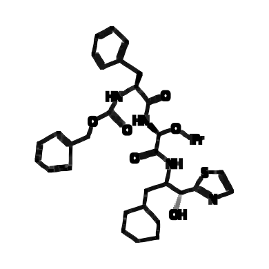 CC(C)O[C@H](NC(=O)[C@H](Cc1ccccc1)NC(=O)OCc1ccccc1)C(=O)NC(CC1CCCCC1)[C@@H](O)c1nccs1